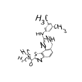 Cc1cc(C)cc(NC2=Nc3c(ccc4nc(C(=O)N(C)C)sc34)CN2)c1